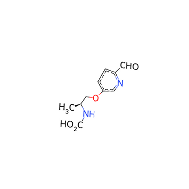 C[C@@H](COc1ccc(C=O)nc1)NC(=O)O